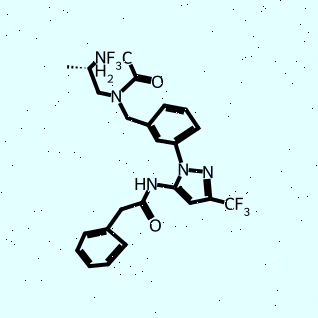 C[C@H](N)CN(Cc1cccc(-n2nc(C(F)(F)F)cc2NC(=O)Cc2ccccc2)c1)C(=O)C(F)(F)F